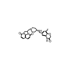 O=C1COc2c(F)cc(CNC3CCN(CC4Cn5c(=O)ccc6ccc(=O)n4c65)CC3)cc2N1